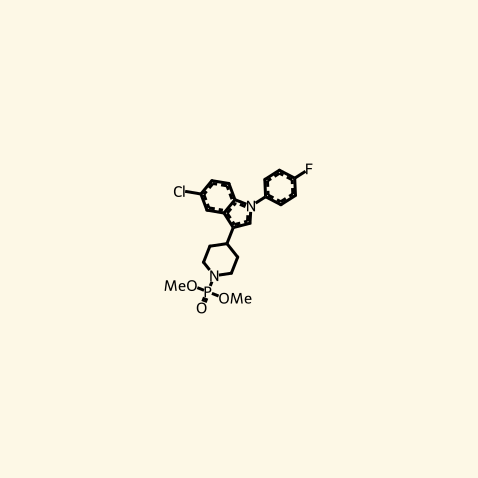 COP(=O)(OC)N1CCC(c2cn(-c3ccc(F)cc3)c3ccc(Cl)cc23)CC1